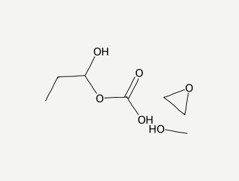 C1CO1.CCC(O)OC(=O)O.CO